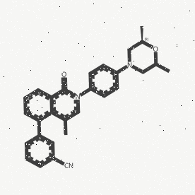 Cc1cn(-c2ccc(N3CC(C)O[C@H](C)C3)cc2)c(=O)c2cccc(-c3cccc(C#N)c3)c12